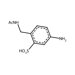 CC(=O)NCc1ccc(N)cc1S(=O)(=O)O